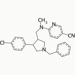 CN(CC1CN(Cc2ccccc2)CC1c1ccc(Cl)cc1)c1ccc(C#N)cn1